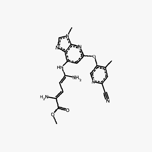 COC(=O)/C(N)=C/C=C(\N)Nc1cc(Oc2cnc(C#N)cc2C)nc2c1ncn2C